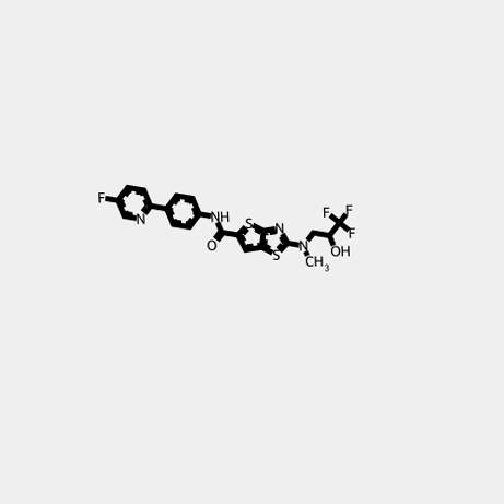 CN(CC(O)C(F)(F)F)c1nc2sc(C(=O)Nc3ccc(-c4ccc(F)cn4)cc3)cc2s1